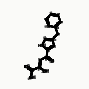 O=C(O)/C(O)=C/C(=O)c1cc(Cc2ccccn2)c[nH]1